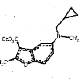 CCOC(=O)c1c(C)oc2ccc(N(C)CC3CC3)cc12